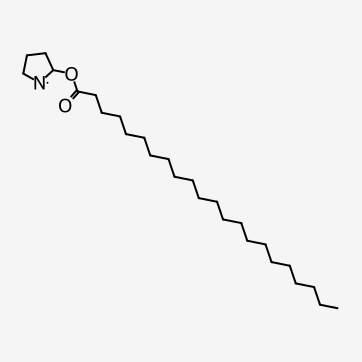 CCCCCCCCCCCCCCCCCCCCCC(=O)OC1CCC[N]1